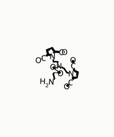 NCCS(=O)(=O)N(CCn1c(=C=O)ccc1=C=O)CCn1c(=C=O)ccc1=C=O